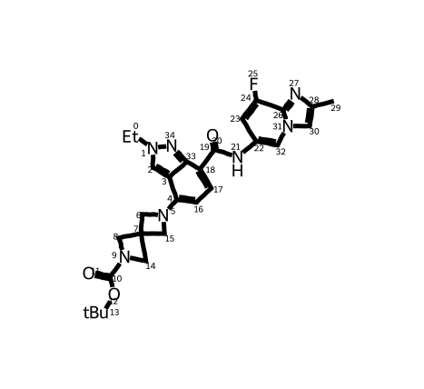 CCn1cc2c(N3CC4(CN(C(=O)OC(C)(C)C)C4)C3)ccc(C(=O)Nc3cc(F)c4nc(C)cn4c3)c2n1